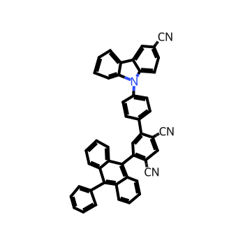 N#Cc1ccc2c(c1)c1ccccc1n2-c1ccc(-c2cc(-c3c4ccccc4c(-c4ccccc4)c4ccccc34)c(C#N)cc2C#N)cc1